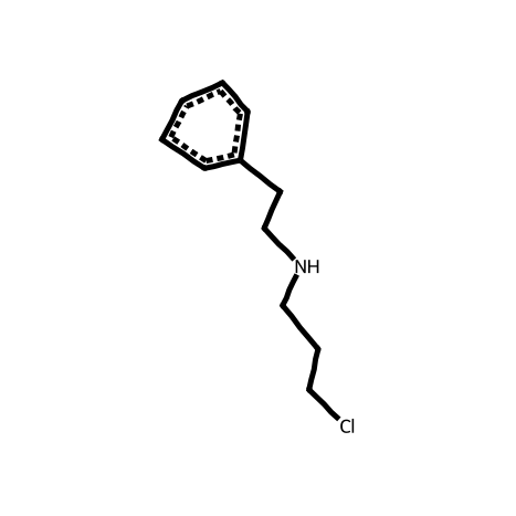 ClCCCNCCc1ccccc1